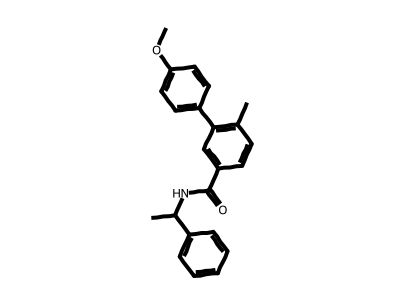 COc1ccc(-c2cc(C(=O)NC(C)c3ccccc3)ccc2C)cc1